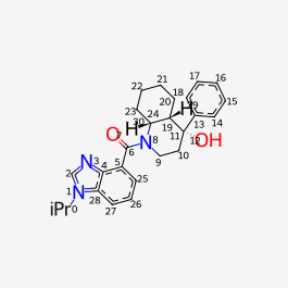 CC(C)n1cnc2c(C(=O)N3CC[C@](O)(c4ccccc4)[C@H]4CCCC[C@H]43)cccc21